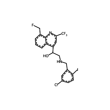 OC(CNCc1cc(Cl)ccc1I)c1cc(C(F)(F)F)nc2c(CF)cccc12